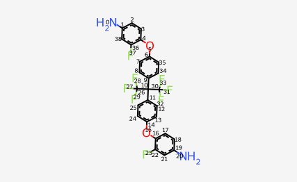 Nc1ccc(Oc2ccc(C(c3ccc(Oc4ccc(N)cc4F)cc3)(C(F)(F)F)C(F)(F)F)cc2)c(F)c1